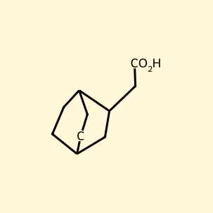 O=C(O)CC1CC2CCC1CC2